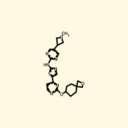 CN1CC(c2cnc(Nc3ncc(-c4ccnc(OC5CCC6(CC5)COC6)n4)s3)nc2)C1